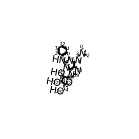 CN(C)C=Nc1nc(Nc2ccccc2)nc2c1ncn2[C@@H]1O[C@H](CO)[C@@H](O)[C@H]1O